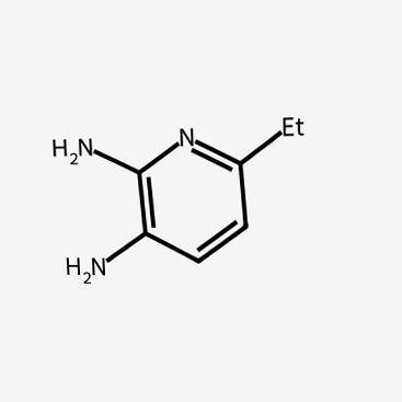 CCc1ccc(N)c(N)n1